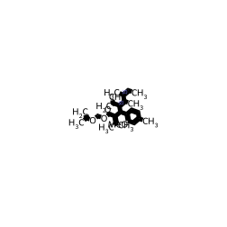 C=C(C)OCOC(=O)C(=C(C)C)C(/C(C(=C)C)=C(C)/C(C)=C\C)c1ccc(C)cc1OC